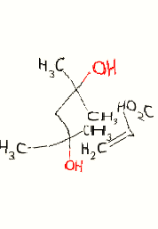 C=CC(=O)O.CC(C)(O)CC(C)(C)O